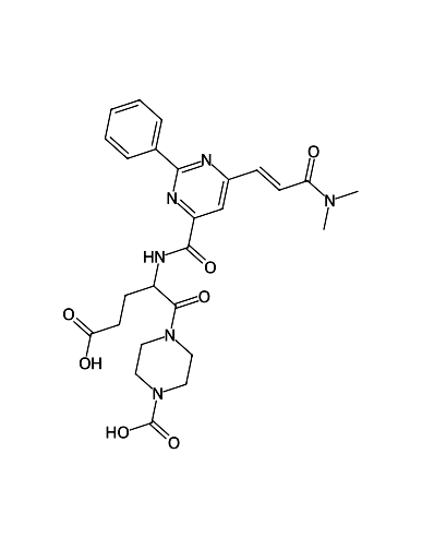 CN(C)C(=O)C=Cc1cc(C(=O)NC(CCC(=O)O)C(=O)N2CCN(C(=O)O)CC2)nc(-c2ccccc2)n1